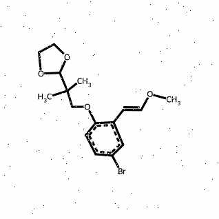 COC=Cc1cc(Br)ccc1OCC(C)(C)C1OCCO1